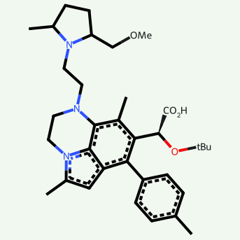 COCC1CCC(C)N1CCN1CCn2c(C)cc3c(-c4ccc(C)cc4)c([C@H](OC(C)(C)C)C(=O)O)c(C)c1c32